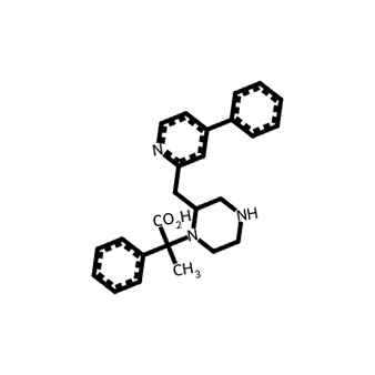 CC(C(=O)O)(c1ccccc1)N1CCNCC1Cc1cc(-c2ccccc2)ccn1